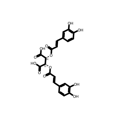 O=C(C=Cc1ccc(O)c(O)c1)O[C@H](C(=O)O)[C@@H](OC(=O)C=Cc1ccc(O)c(O)c1)C(=O)O